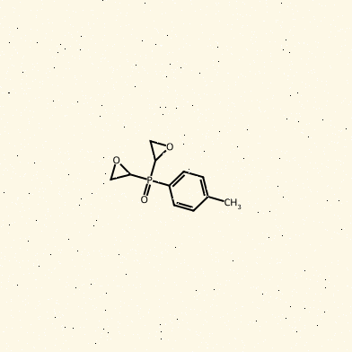 Cc1ccc(P(=O)(C2CO2)C2CO2)cc1